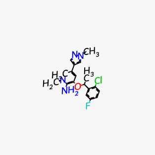 C=N/C(N)=C(\C=C(/C)c1cnn(C)c1)OC(C)c1cc(F)ccc1Cl